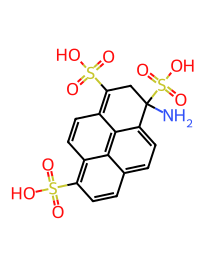 NC1(S(=O)(=O)O)CC(S(=O)(=O)O)=c2ccc3c(S(=O)(=O)O)ccc4ccc1c2c43